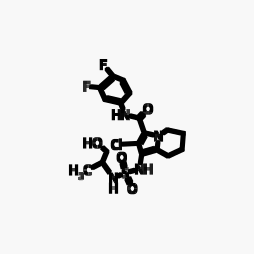 CC(CO)NS(=O)(=O)Nc1c(Cl)c(C(=O)Nc2ccc(F)c(F)c2)n2c1CCCC2